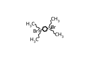 CCCC[Si](Br)(CCCC)c1ccc([Si](Br)(CCCC)CCCC)cc1